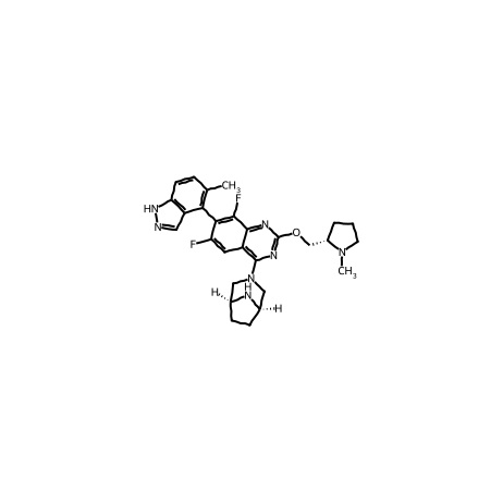 Cc1ccc2[nH]ncc2c1-c1c(F)cc2c(N3C[C@H]4CC[C@@H](C3)N4)nc(OC[C@@H]3CCCN3C)nc2c1F